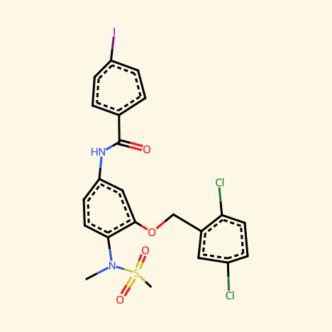 CN(c1ccc(NC(=O)c2ccc(I)cc2)cc1OCc1cc(Cl)ccc1Cl)S(C)(=O)=O